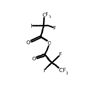 O=C(OC(=O)C(F)(I)C(F)(F)F)C(F)(I)C(F)(F)F